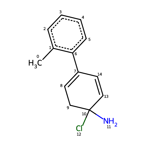 Cc1ccccc1C1=CCC(N)(Cl)C=C1